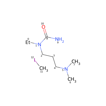 CCN(CCCN(C)C)C(N)=O.CI